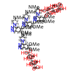 CNC1CCN(c2nncc3cc(OC)c(OC)cc23)CC1.CNC1CCN(c2nncc3cc(OC)c(OC)cc23)CC1.CNC1CCN(c2nncc3cc(OC)c(OC)cc23)CC1.CNC1CCN(c2nncc3cc(OC)c(OC)cc23)CC1.O.O=C(O)C(=O)O.O=C(O)C(=O)O.O=C(O)C(=O)O.O=C(O)C(=O)O.O=C(O)C(=O)O.O=C(O)C(=O)O